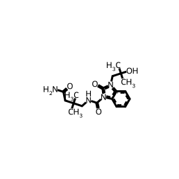 CC(C)(O)Cn1c(=O)n(C(=O)NCC(C)(C)CC(N)=O)c2ccccc21